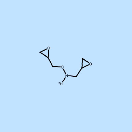 [2H]N(CC1CO1)OCC1CO1